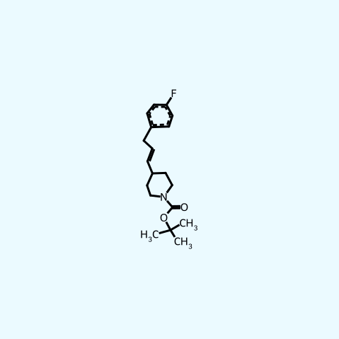 CC(C)(C)OC(=O)N1CCC(/C=C/Cc2ccc(F)cc2)CC1